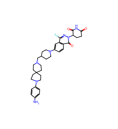 Nc1ccc(N2CCC3(CCN(CC4CCN(c5ccc6c(=O)n(C7CCC(=O)NC7=O)nc(F)c6c5)CC4)CC3)CC2)cc1